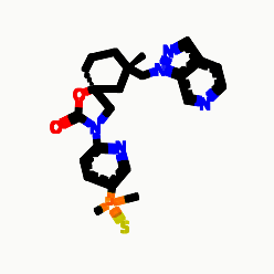 C[C@]1(Cn2ncc3ccncc32)CCC[C@@]2(CN(c3ccc(P(C)(C)=S)cn3)C(=O)O2)C1